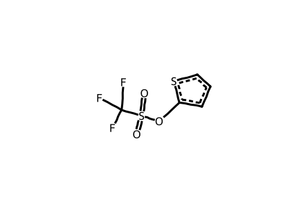 O=S(=O)(Oc1cccs1)C(F)(F)F